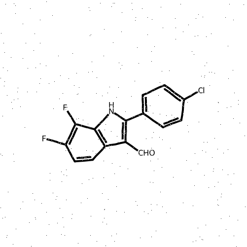 O=Cc1c(-c2ccc(Cl)cc2)[nH]c2c(F)c(F)ccc12